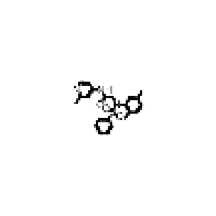 Cc1ccc(C)c(N(CC(=O)Nc2ccnc(C)c2)S(=O)(=O)c2ccccc2)c1